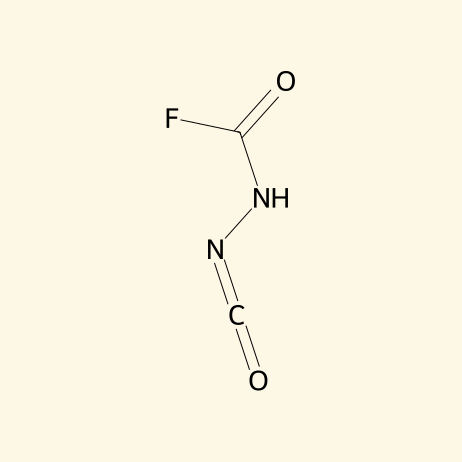 O=C=NNC(=O)F